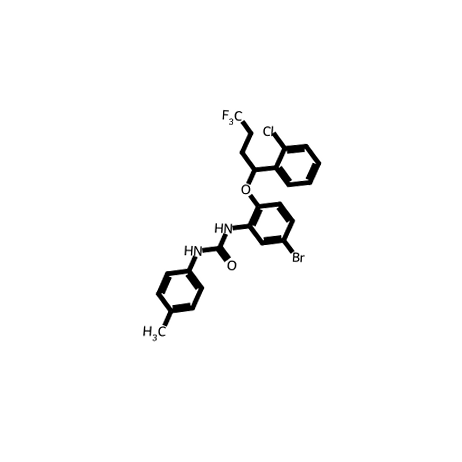 Cc1ccc(NC(=O)Nc2cc(Br)ccc2OC(CCC(F)(F)F)c2ccccc2Cl)cc1